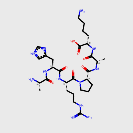 C[C@H](N)C(=O)N[C@@H](Cc1c[nH]cn1)C(=O)N[C@@H](CCCNC(=N)N)C(=O)N1CCC[C@H]1C(=O)N[C@@H](C)C(=O)N[C@@H](CCCCN)C(=O)O